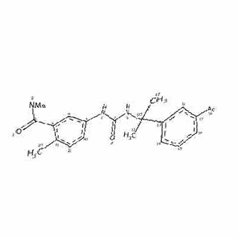 CNC(=O)c1cc(NC(=O)NC(C)(C)c2cccc(C(C)=O)c2)ccc1C